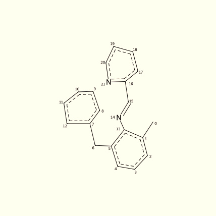 Cc1cccc(Cc2ccccc2)c1N=Cc1ccccn1